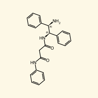 N[C@H](c1ccccc1)[C@H](NC(=O)CC(=O)Nc1ccccc1)c1ccccc1